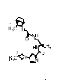 C=C(CCNC(=O)COC1=C2CCC(=C1)C(C)C2F)NC(=O)c1cc(N2CC(C)(F)C2)ccn1